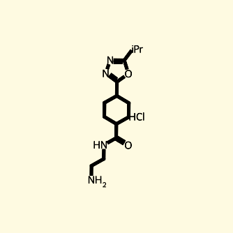 CC(C)c1nnc(C2CCC(C(=O)NCCN)CC2)o1.Cl